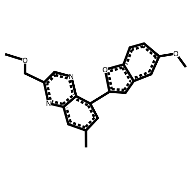 COCc1cnc2c(-c3cc4cc(OC)ccc4o3)cc(C)cc2n1